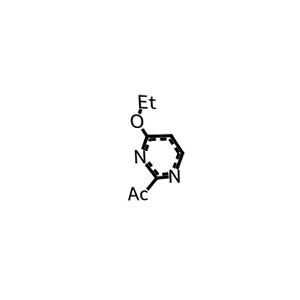 CCOc1ccnc(C(C)=O)n1